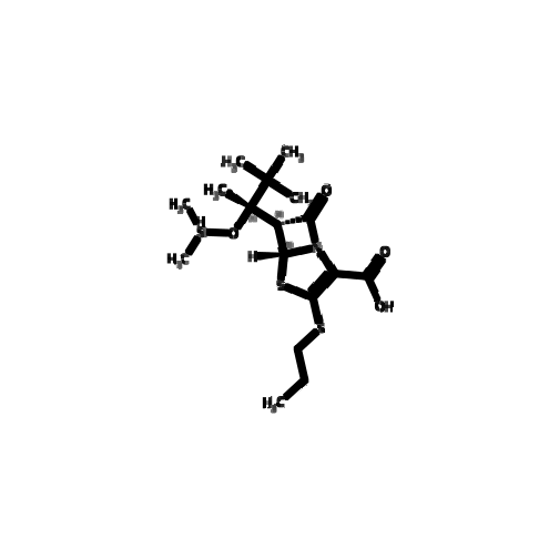 CCCSC1=C(C(=O)O)N2C(=O)[C@@H]([C@](C)(O[SiH](C)C)C(C)(C)C)[C@H]2S1